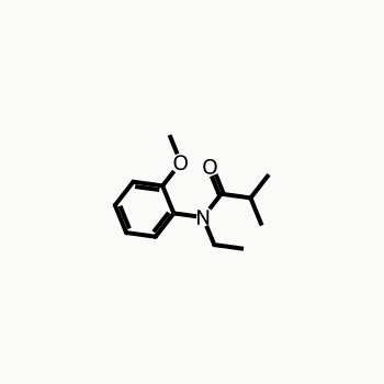 CCN(C(=O)C(C)C)c1ccccc1OC